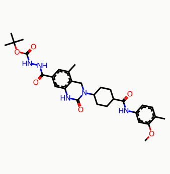 COc1cc(NC(=O)C2CCC(N3Cc4c(C)cc(C(=O)NNC(=O)OC(C)(C)C)cc4NC3=O)CC2)ccc1C